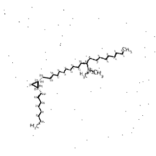 CCCCCCCCCC(CCCCCCCCCCC[C@H]1C[C@H]1CCCCCCCC)N(C)C